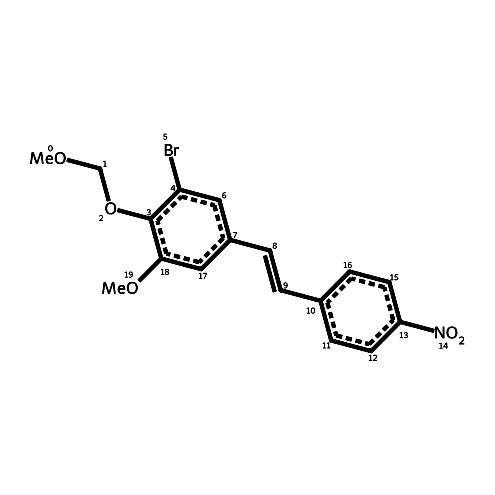 COCOc1c(Br)cc(C=Cc2ccc([N+](=O)[O-])cc2)cc1OC